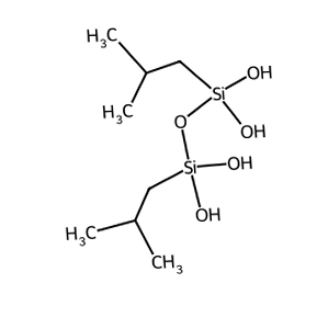 CC(C)C[Si](O)(O)O[Si](O)(O)CC(C)C